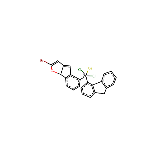 [SH][Zr]([Cl])([Cl])([c]1cccc2c1C=C1C=C(Br)OC12)[c]1cccc2c1-c1ccccc1C2